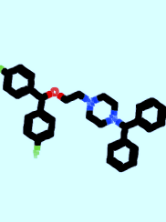 Fc1ccc(C(OCCN2CCN(C(c3ccccc3)c3ccccc3)CC2)c2ccc(F)cc2)cc1